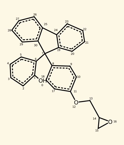 Oc1ccccc1C1(c2ccc(OCC3CO3)cc2)c2ccccc2-c2ccccc21